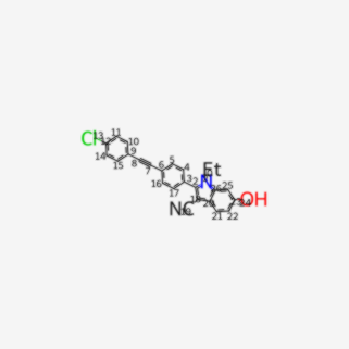 CCn1c(-c2ccc(C#Cc3ccc(Cl)cc3)cc2)c(C#N)c2ccc(O)cc21